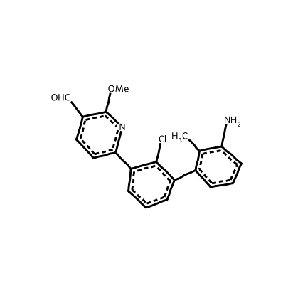 COc1nc(-c2cccc(-c3cccc(N)c3C)c2Cl)ccc1C=O